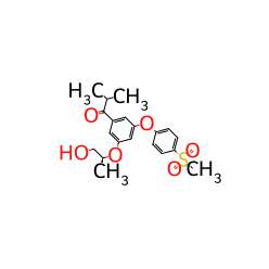 CC(C)C(=O)c1cc(Oc2ccc(S(C)(=O)=O)cc2)cc(O[C@@H](C)CO)c1